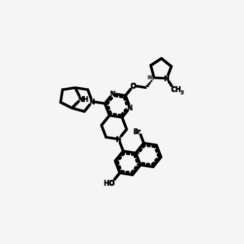 CN1CCC[C@H]1COc1nc2c(c(N3CC4CCC(C3)N4)n1)CCN(c1cc(O)cc3cccc(Br)c13)C2